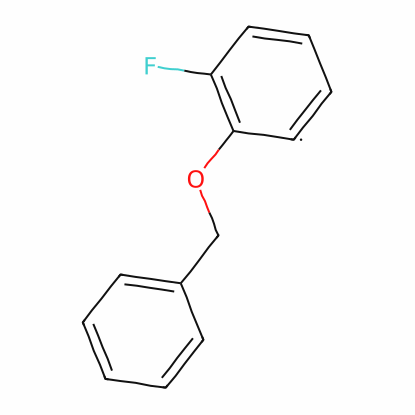 Fc1ccc[c]c1OCc1ccccc1